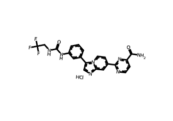 Cl.NC(=O)c1ccnc(-c2ccn3c(-c4cccc(NC(=O)NCC(F)(F)F)c4)cnc3c2)n1